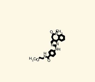 COCCNC(=O)c1ccc(Nc2ncc3c(n2)-c2ccccc2N(C)C(=O)C3)cc1